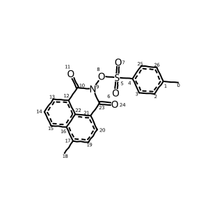 Cc1ccc(S(=O)(=O)ON2C(=O)c3cccc4c(C)ccc(c34)C2=O)cc1